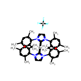 Cc1cc(C)c(-n2ccn(-c3c(C)cc(C)cc3C)[c]2=[Au]=[c]2n(-c3c(C)cc(C)cc3C)ccn2-c2c(C)cc(C)cc2C)c(C)c1.F[B-](F)(F)F